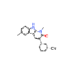 Cc1ccc2[nH]c3c(cc(-c4cccc(C#N)c4)c(=O)n3C)c2c1